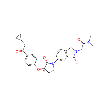 CN(C)C(=O)CN1Cc2ccc(N3CC[C@@H](Oc4ccc(C(=O)CC5CC5)cc4)C3=O)cc2C1=O